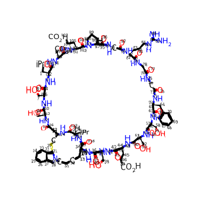 CC(C)C[C@@H]1NC(=O)[C@H](CO)NC(=O)[C@H](CO)NC(=O)[C@@H]2CSc3c4ccccc4cn3CCCC[C@H](NC(=O)[C@H](CO)NC(=O)[C@H](CCC(=O)O)NC(=O)[C@H](CO)NC(=O)[C@H](CO)NC(=O)[C@H](Cc3ccccc3)NC(=O)CNC(=O)CNC(=O)[C@H](CCCNC(=N)N)NC(=O)CNC(=O)[C@@H]3CCCN3C(=O)[C@H](CCC(=O)O)NC(=O)[C@H](CC(=O)O)NC1=O)C(=O)N[C@@H](C(C)C)C(=O)N2